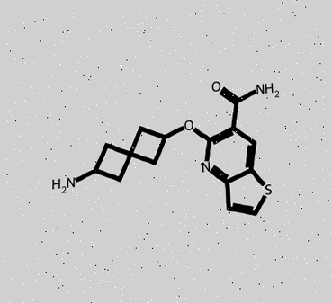 NC(=O)c1cc2sccc2nc1OC1CC2(CC(N)C2)C1